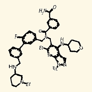 CCc1nc2c(cnn2CC)c(NC2CCOCC2)c1CN(Cc1ccc(F)c(-c2cccc(CNC3CCCN(CC)C3)c2)c1)C(=O)c1cccc(C(N)=O)c1